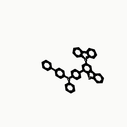 c1ccc(-c2ccc(N(c3ccccc3)c3ccc(-c4cc(-n5c6ccccc6c6ccccc65)cc5c4sc4ccccc45)cc3)cc2)cc1